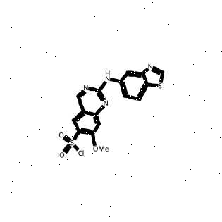 COc1cc2nc(Nc3ccc4scnc4c3)ncc2cc1S(=O)(=O)Cl